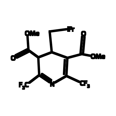 COC(=O)C1=C(C(F)(F)F)N=C(C(F)(F)F)C(C(=O)OC)C1CC(C)C